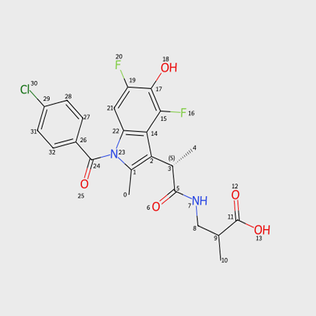 Cc1c([C@H](C)C(=O)NCC(C)C(=O)O)c2c(F)c(O)c(F)cc2n1C(=O)c1ccc(Cl)cc1